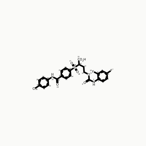 O=C(Nc1ccc(F)cc1F)OCCC(C(=O)O)S(=O)(=O)c1ccc(C(=O)Nc2ccc(Cl)cc2)cc1